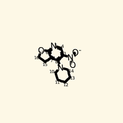 O=[N+]([O-])c1cnc2c(c1N1CCCCC1)CCO2